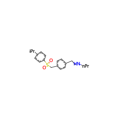 CCCNCCc1ccc(CS(=O)(=O)c2ccc(C(C)C)cc2)cc1